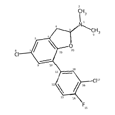 CN(C)C1Cc2cc(Cl)cc(-c3ccc(F)c(Cl)c3)c2O1